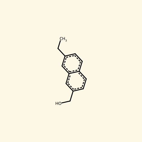 CCc1ccc2ccc(CO)cc2c1